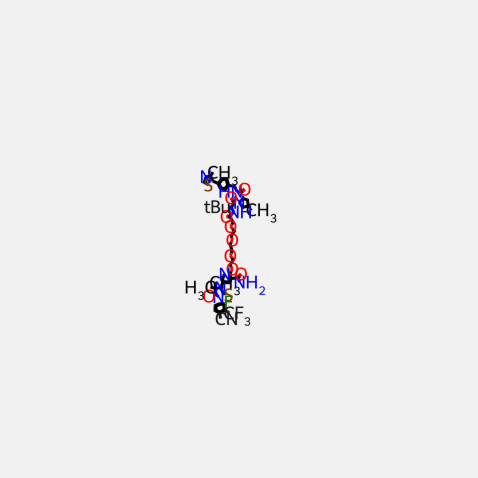 Cc1ncsc1-c1ccc(CNC(=O)[C@@H]2C[C@@H](C)CN2C(=O)[C@@H](NC(=O)COCCOCCOCCOc2ncc(N3C(=S)N(c4ccc(C#N)c(C(F)(F)F)c4F)C(=O)C3(C)C)cc2C(N)=O)C(C)(C)C)cc1